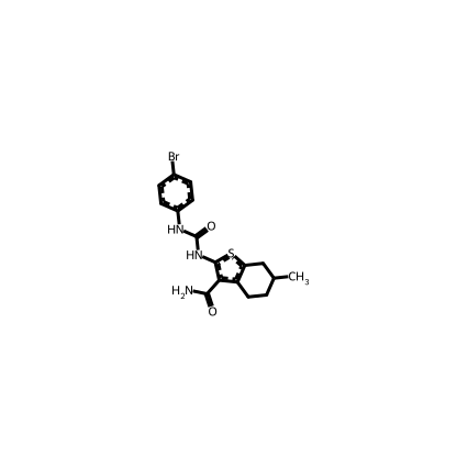 CC1CCc2c(sc(NC(=O)Nc3ccc(Br)cc3)c2C(N)=O)C1